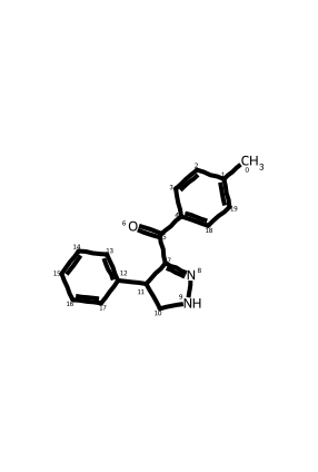 Cc1ccc(C(=O)C2=NNCC2c2ccccc2)cc1